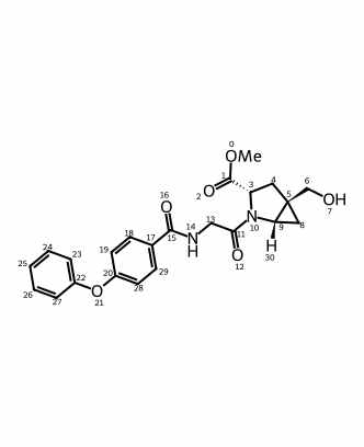 COC(=O)[C@@H]1C[C@]2(CO)C[C@@H]2N1C(=O)CNC(=O)c1ccc(Oc2ccccc2)cc1